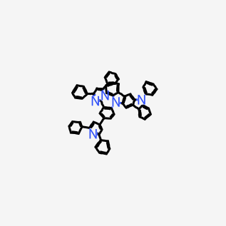 c1ccc(-c2cc(-c3ccc(-n4c5ccccc5c5cc6c(cc54)c4ccccc4n6-c4ccccc4)c(-c4nc(-c5ccccc5)cc(-c5ccccc5)n4)c3)cc(-c3ccccc3)n2)cc1